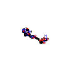 Cc1ccc(NC(=O)c2ccc(CN3CCN(C(=O)CCCCCSc4cccc5c4C(=O)N(C4CCC(=O)NC4=O)C5=O)CC3)cc2)cc1Nc1nccc(-c2cccnc2)n1